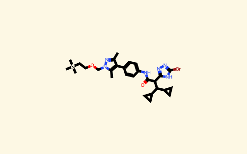 Cc1nn(COCC[Si](C)(C)C)c(C)c1-c1ccc(NC(=O)C(c2nnc(Br)[nH]2)C(C2CC2)C2CC2)cc1